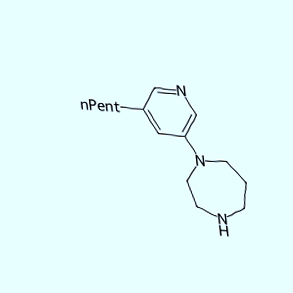 CCCCCc1cncc(N2CCCNCC2)c1